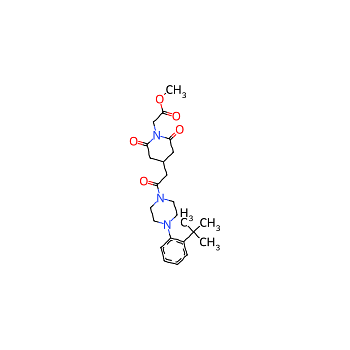 COC(=O)CN1C(=O)CC(CC(=O)N2CCN(c3ccccc3C(C)(C)C)CC2)CC1=O